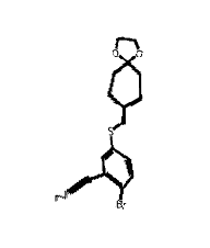 N#Cc1cc(SCC2CCC3(CC2)OCCO3)ccc1Br